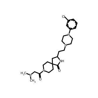 CN(C)CC(=O)N1CCC2(CC1)CC(CCN1CCN(c3cccc(Cl)c3)CC1)NC2=O